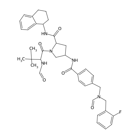 CC(C)(C)C(NC=O)C(=O)N1CC(NC(=O)c2ccc(CN(C=O)Cc3ccccc3F)cc2)CC1C(=O)NC1CCCc2ccccc21